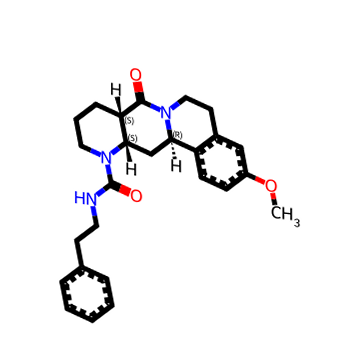 COc1ccc2c(c1)CCN1C(=O)[C@H]3CCCN(C(=O)NCCc4ccccc4)[C@H]3C[C@H]21